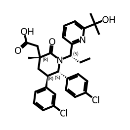 CC[C@@H](c1cccc(C(C)(C)O)n1)N1C(=O)[C@@](C)(CC(=O)O)C[C@H](c2cccc(Cl)c2)[C@H]1c1ccc(Cl)cc1